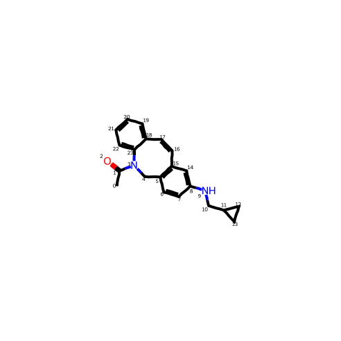 CC(=O)N1Cc2ccc(NCC3CC3)cc2C=Cc2ccccc21